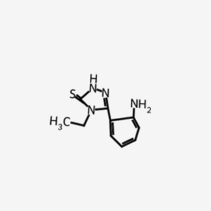 CCn1c(-c2ccccc2N)n[nH]c1=S